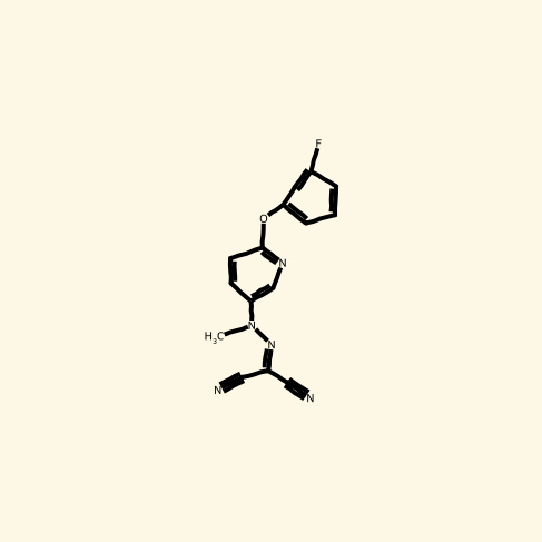 CN(N=C(C#N)C#N)c1ccc(Oc2cccc(F)c2)nc1